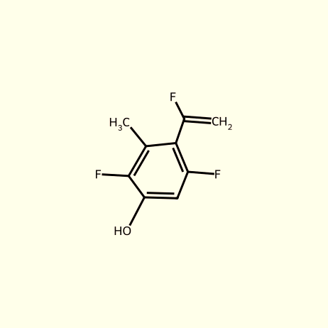 C=C(F)c1c(F)cc(O)c(F)c1C